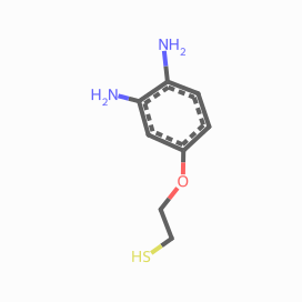 Nc1ccc(OCCS)cc1N